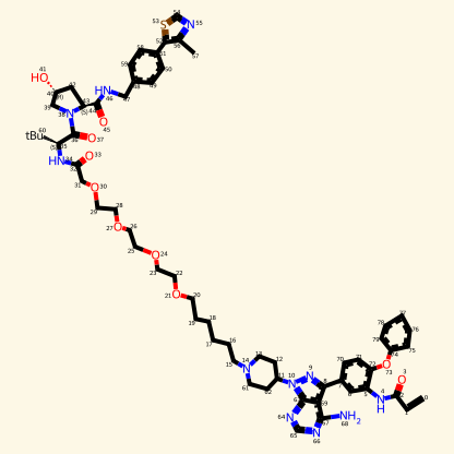 C=CC(=O)Nc1cc(-c2nn(C3CCN(CCCCCCOCCOCCOCCOCC(=O)N[C@H](C(=O)N4C[C@H](O)C[C@H]4C(=O)NCc4ccc(-c5scnc5C)cc4)C(C)(C)C)CC3)c3ncnc(N)c23)ccc1Oc1ccccc1